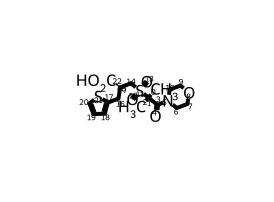 CC(C)(C(=O)N1CCOCC1)S(=O)(=O)C[C@H](Cc1cccs1)C(=O)O